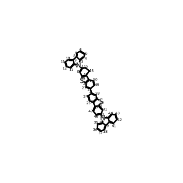 C1=C(n2c3ccccc3c3ccccc32)CCc2c1sc1cc(-c3ccc4c(c3)sc3cc(-n5c6ccccc6c6ccccc65)ccc34)ccc21